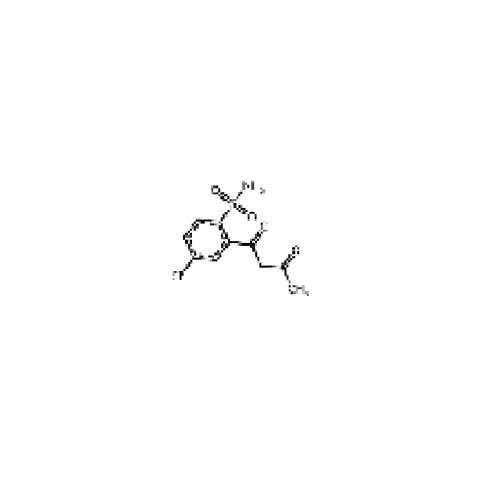 CC(=O)CC(=O)c1cc(Cl)ccc1S(N)(=O)=O